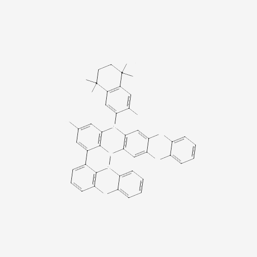 Cc1cc2c(cc1N1c3cc4c(cc3B3c5c(cc(C(C)(C)C)cc51)-c1cccc5c1N3c1ccccc1S5)Oc1ccccc1O4)C(C)(C)CCC2(C)C